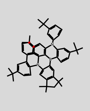 CC(C)c1cc2c3c(c1)N(c1ccc(C(C)(C)C)cc1-c1ccccc1)c1cc4c(cc1B3c1ccc(C(C)(C)C)cc1N2c1cccc(C(C)(C)C)c1)C(C)(C)CC4(C)C